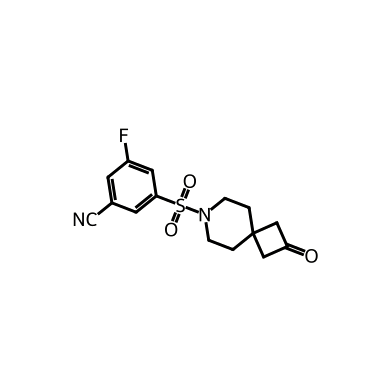 N#Cc1cc(F)cc(S(=O)(=O)N2CCC3(CC2)CC(=O)C3)c1